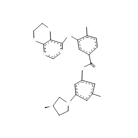 O=C(Nc1cc(N2CC[C@@H](F)C2)cc(C(F)(F)F)c1)c1ccc(Cl)c(Oc2ncnc3c2OCCN3)c1